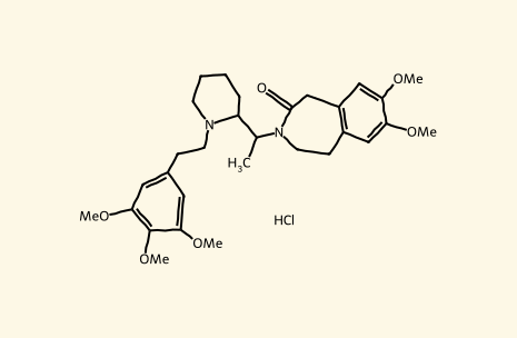 COc1cc2c(cc1OC)CC(=O)N(C(C)C1CCCCN1CCc1cc(OC)c(OC)c(OC)c1)CC2.Cl